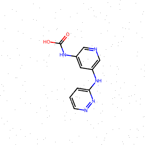 O=C(O)Nc1cncc(Nc2cccnn2)c1